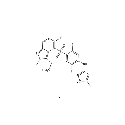 Cc1cc(Nc2cc(F)c(S(=O)(=O)c3c(F)ccc4c3=C(CC(=O)O)C(C)N=4)cc2F)no1